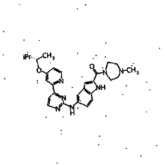 CC(C)[C@H](C)Oc1ccnc(-c2ccnc(Nc3ccc4[nH]c(C(=O)N5CCN(C)CC5)cc4c3)n2)c1